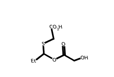 CCC(OC(=O)CO)SCC(=O)O